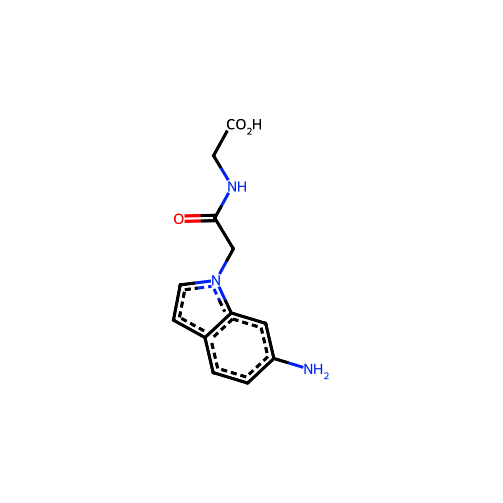 Nc1ccc2ccn(CC(=O)NCC(=O)O)c2c1